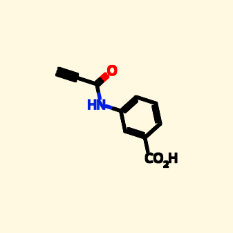 C#CC(=O)Nc1cccc(C(=O)O)c1